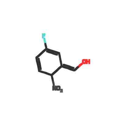 O=[N+]([O-])C1C=CC(F)=CC1=CO